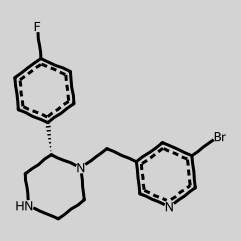 Fc1ccc([C@H]2CNCCN2Cc2cncc(Br)c2)cc1